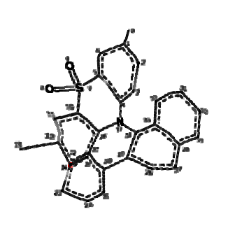 Cc1ccc2c(c1)S(=O)(=O)c1cc(C)ccc1N2c1c(-c2ccccc2)ccc2ccccc12